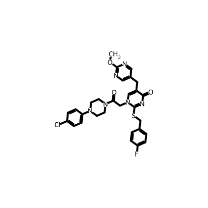 COc1ncc(Cc2cn(CC(=O)N3CCN(c4ccc(Cl)cc4)CC3)c(SCc3ccc(F)cc3)nc2=O)cn1